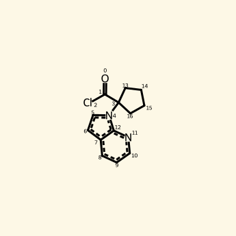 O=C(Cl)C1(n2ccc3cccnc32)CCCC1